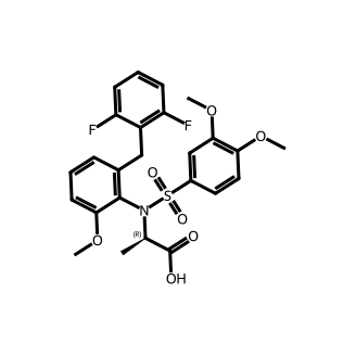 COc1ccc(S(=O)(=O)N(c2c(Cc3c(F)cccc3F)cccc2OC)[C@H](C)C(=O)O)cc1OC